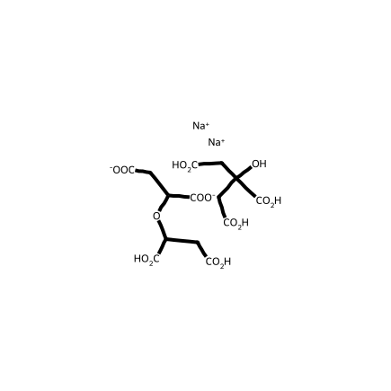 O=C(O)CC(O)(CC(=O)O)C(=O)O.O=C([O-])CC(OC(CC(=O)O)C(=O)O)C(=O)[O-].[Na+].[Na+]